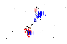 Nc1ncnc2c1c(-c1ccc(Oc3ccccc3)cc1)nn2C1CCN(CCCCCCCCSc2cccc3c2C(=O)N(C2CCC(=O)NC2=O)C3=O)CC1